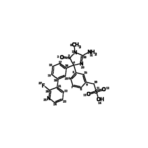 CN1C(=O)C(c2cccc(CS(=O)(=O)O)c2)(c2cccc(-c3cccnc3F)c2)N=C1N